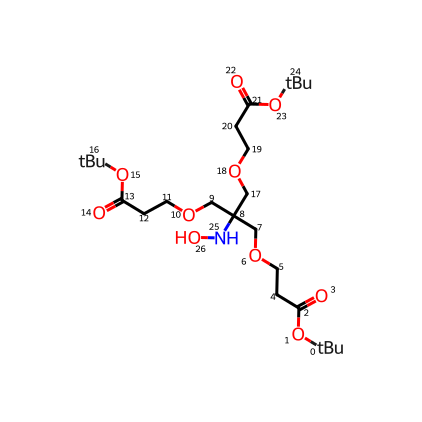 CC(C)(C)OC(=O)CCOCC(COCCC(=O)OC(C)(C)C)(COCCC(=O)OC(C)(C)C)NO